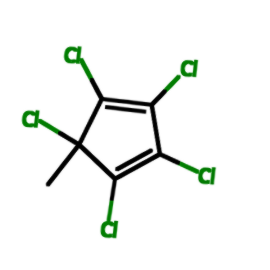 CC1(Cl)C(Cl)=C(Cl)C(Cl)=C1Cl